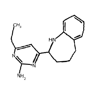 CCc1cc(C2CCCc3ccccc3N2)nc(N)n1